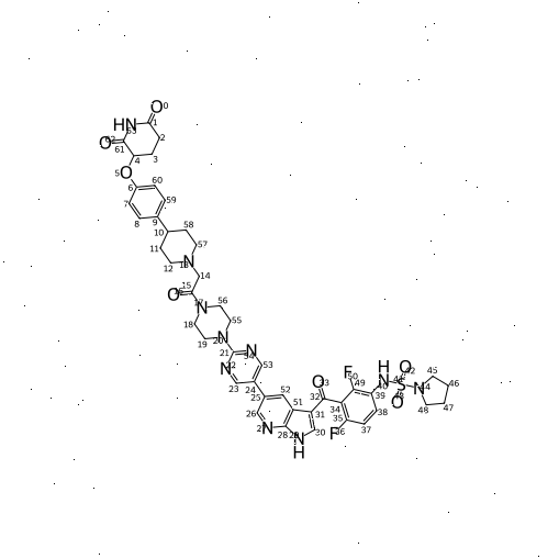 O=C1CCC(Oc2ccc(C3CCN(CC(=O)N4CCN(c5ncc(-c6cnc7[nH]cc(C(=O)c8c(F)ccc(NS(=O)(=O)N9CCCC9)c8F)c7c6)cn5)CC4)CC3)cc2)C(=O)N1